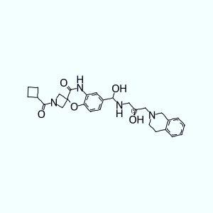 O=C(C1CCC1)N1CC2(C1)Oc1ccc(C(O)NC[C@H](O)CN3CCc4ccccc4C3)cc1NC2=O